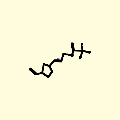 C=CC1CCC(/C=C/COC(=O)C(F)(F)F)C1